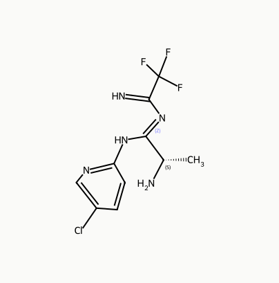 C[C@H](N)/C(=N/C(=N)C(F)(F)F)Nc1ccc(Cl)cn1